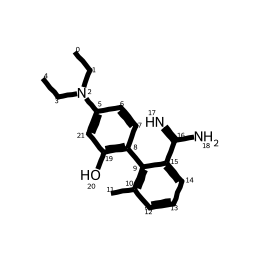 CCN(CC)c1ccc(-c2c(C)[c]ccc2C(=N)N)c(O)c1